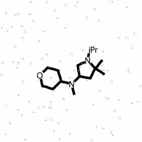 CC(C)N1CC(N(C)C2CCOCC2)CC1(C)C